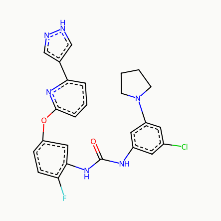 O=C(Nc1cc(Cl)cc(N2CCCC2)c1)Nc1cc(Oc2cccc(-c3cn[nH]c3)n2)ccc1F